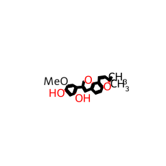 COc1cc(C2=Cc3ccc4c(c3OC2)C=CC(C)(C)O4)c(O)cc1O